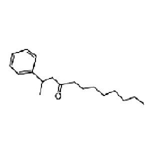 CCCCCCCCC(=O)CC(C)c1ccccc1